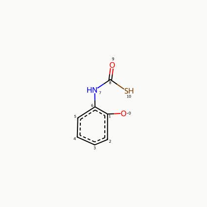 [O]c1ccccc1NC(=O)S